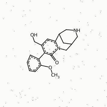 COc1ccccc1-c1c(CO)cc2n(c1=O)CC1CNCC2C1